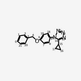 c1ccc(COc2ccc(-n3nnnc3C3CC3)cc2)cc1